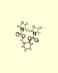 O=C(OCc1ccccc1OC(=O)N1CCCC1)N1CCCC1